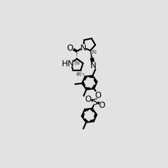 Cc1ccc(S(=O)(=O)Oc2cc(C)c([C@@H]3CN[C@H](C(=O)N4CCC[C@H]4C#N)C3)c(C)c2C)cc1